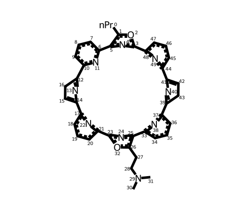 CCCc1oc2nc1-c1cccc(n1)C1=NC(=CC1)c1cccc(n1)-c1nc(c(CCN(C)C)o1)-c1cccc(n1)C1=NC(=CC1)c1cccc-2n1